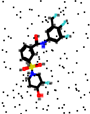 O=C(Nc1cc(F)c(F)c(CF)c1)c1cccc(S(=O)(=O)N2CCC(O)C(F)C2)c1